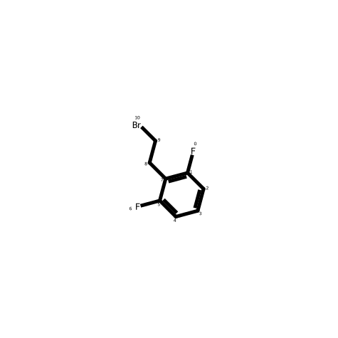 Fc1cccc(F)c1CCBr